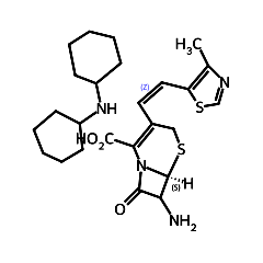 C1CCC(NC2CCCCC2)CC1.Cc1ncsc1/C=C\C1=C(C(=O)O)N2C(=O)C(N)[C@@H]2SC1